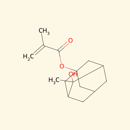 C=C(C)C(=O)OC12CC3CC(C1)C(C)(O)C(C3)C2